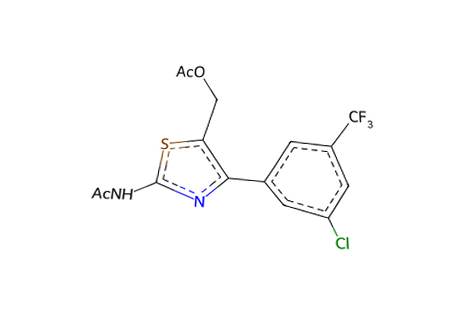 CC(=O)Nc1nc(-c2cc(Cl)cc(C(F)(F)F)c2)c(COC(C)=O)s1